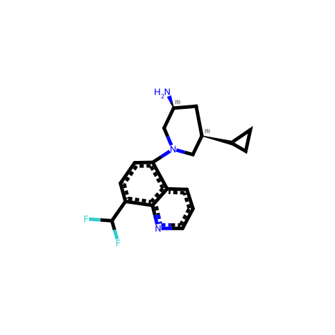 N[C@H]1C[C@@H](C2CC2)CN(c2ccc(C(F)F)c3ncccc23)C1